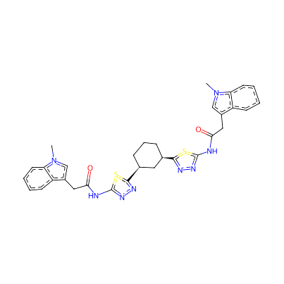 Cn1cc(CC(=O)Nc2nnc([C@@H]3CCC[C@H](c4nnc(NC(=O)Cc5cn(C)c6ccccc56)s4)C3)s2)c2ccccc21